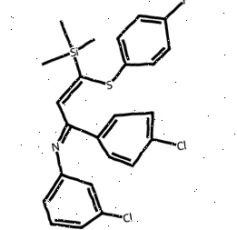 C[Si](C)(C)C(=CC(=Nc1cccc(Cl)c1)c1ccc(Cl)cc1)Sc1ccc(F)cc1